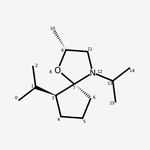 CC(C)[C@@H]1CCC[C@@]12O[C@H](C)CN2C(C)C